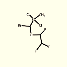 CCC(OC(F)C(F)F)[Si](C)(Cl)Cl